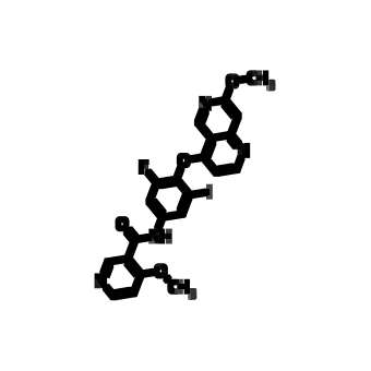 COc1cc2nccc(Oc3c(F)cc(NC(=O)c4cnccc4OC)cc3I)c2cn1